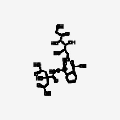 O=C(CO)C(O)C(O)C(O)CO.O=C(O)CC(O)(CC(=O)O)C(=O)O.O=C(O)c1ccccc1[N+](=O)[O-]